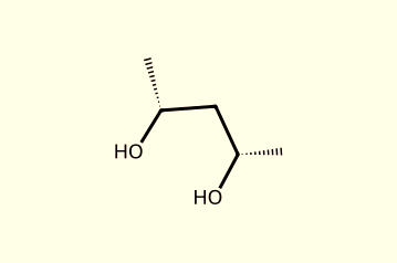 C[C@H](O)C[C@@H](C)O